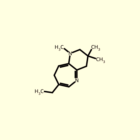 CCC1=CN=C2CC(C)(C)CN(C)C2=CC1